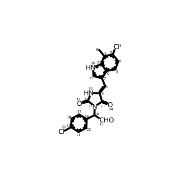 Cc1c(Cl)ccc2c(/C=C3\NC(=O)N(C(C=O)c4ccc(Cl)cc4)C3=O)c[nH]c12